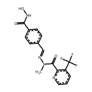 CN(N=Cc1ccc(C(=O)NO)cc1)C(=O)c1ncccc1C(F)(F)F